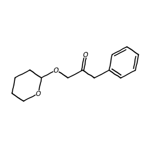 O=C(COC1CCCCO1)Cc1ccccc1